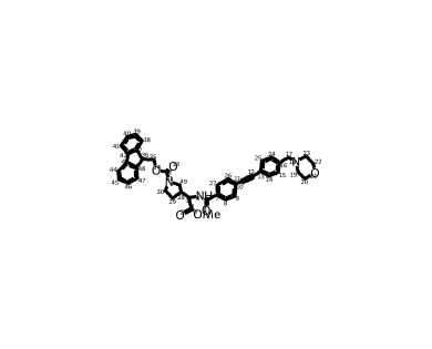 COC(=O)C(NC(=O)c1ccc(C#Cc2ccc(CN3CCOCC3)cc2)cc1)C1CCN(C(=O)OCC2c3ccccc3-c3ccccc32)C1